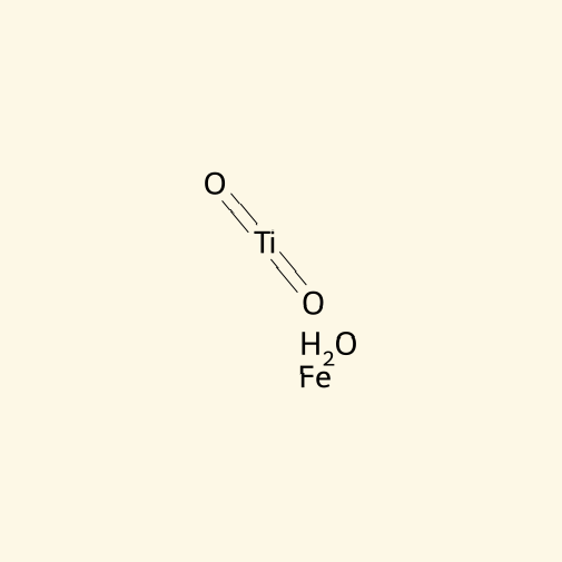 O.[Fe].[O]=[Ti]=[O]